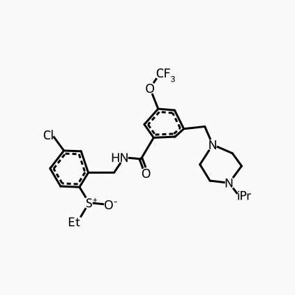 CC[S+]([O-])c1ccc(Cl)cc1CNC(=O)c1cc(CN2CCN(C(C)C)CC2)cc(OC(F)(F)F)c1